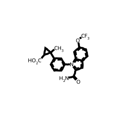 CC1(c2cccc(-n3c(C(N)=O)cc4ccc(OC(F)(F)F)cc43)c2)CC1C(=O)O